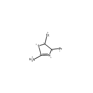 CCC1SC(N)=NC1C(C)C